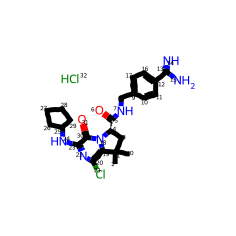 CC1(C)C[C@@H](C(=O)NCc2ccc(C(=N)N)cc2)n2c1c(Cl)nc(NC1CCCC1)c2=O.Cl